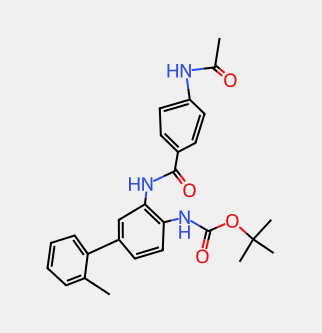 CC(=O)Nc1ccc(C(=O)Nc2cc(-c3ccccc3C)ccc2NC(=O)OC(C)(C)C)cc1